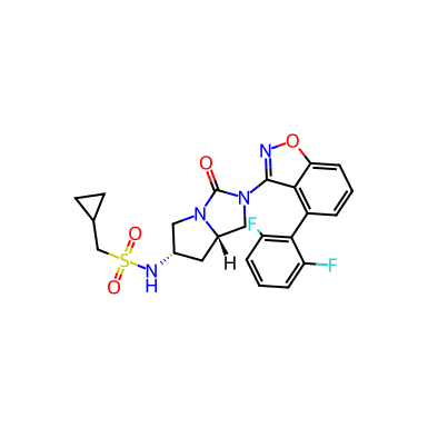 O=C1N(c2noc3cccc(-c4c(F)cccc4F)c23)C[C@@H]2C[C@H](NS(=O)(=O)CC3CC3)CN12